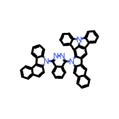 c1ccc2cc3c(cc2c1)c1cc2c4ccccc4n4c5ccccc5c(c1n3-c1nnc(-n3c5ccccc5c5c6ccccc6ccc53)c3ccccc13)c24